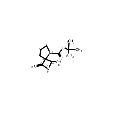 CC(C)(C)OC(=O)N1CCCC12C(=O)NC2O